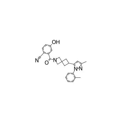 Cc1cc(C2CC3(C2)CN(C(=O)c2cc(O)ccc2C#N)C3)n(-c2ccccc2C)n1